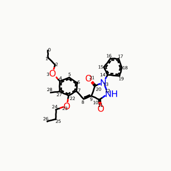 CCCOc1ccc(C=C2C(=O)NN(c3ccccc3)C2=O)c(OCCC)c1C